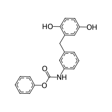 O=C(Nc1cccc(Cc2cc(O)ccc2O)c1)Oc1ccccc1